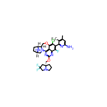 Cc1cc(N)nc(-c2c(Cl)c3c4c(nc(OC[C@]56CCCN5CC(F)(F)C6)nc4c2F)N2C[C@H]4CC[C@H](N4)[C@H]2CO3)c1C(F)(F)F